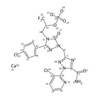 NC(=O)c1nc(Cn2nc(-c3ccc(Cl)cc3)n(CC(OP(=O)([O-])[O-])C(F)(F)F)c2=O)nn1-c1ncccc1Cl.[Ca+2]